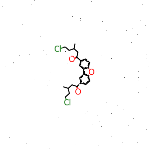 CC(CCCl)CC(=O)c1ccc2oc3ccc(C(=O)CC(C)CCCl)cc3c2c1